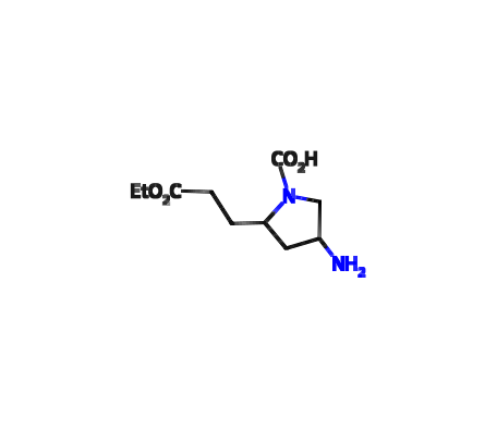 CCOC(=O)CCC1CC(N)CN1C(=O)O